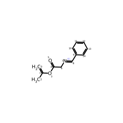 C=C(C)OC(=O)C/N=C/c1ccccc1